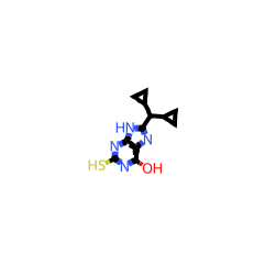 Oc1nc(S)nc2[nH]c(C(C3CC3)C3CC3)nc12